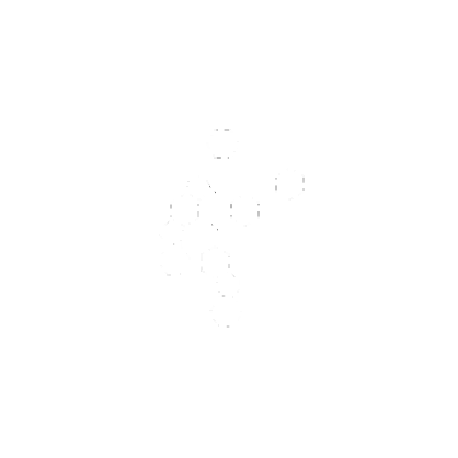 c1ccc(-c2ccc(N(c3ccc4c(c3)oc3ccccc34)c3c4nc(-c5ccccc5)oc4cc4oc5ccccc5c34)cc2)cc1